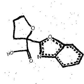 O=C(O)C1(c2nc3ccccc3o2)CCCO1